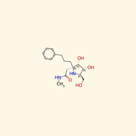 CNC(=O)C[C@@]1(CCCc2ccccc2)N[C@H](CO)[C@@H](O)[C@H]1O